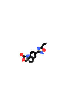 CCc1nc(-c2ccc3c(c2)CC[C@@]32COC(=O)N2)no1